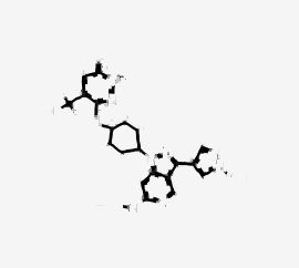 CNc1cc2c(cn1)c(-c1cnn(C)c1)nn2C1CCC(Oc2nn(C)c(=O)cc2C(F)(F)F)CC1